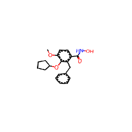 COc1ccc(C(=O)NO)c(Cc2ccccc2)c1OC1CCCC1